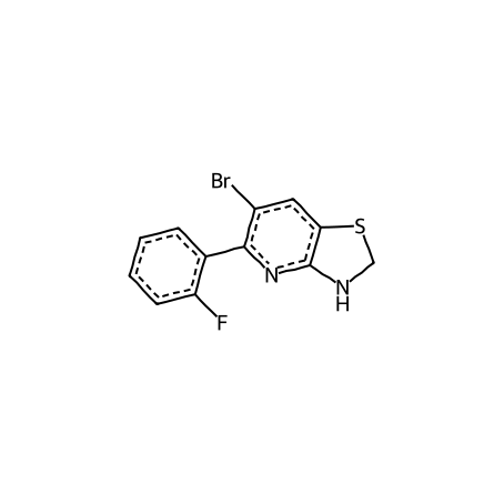 Fc1ccccc1-c1nc2c(cc1Br)SCN2